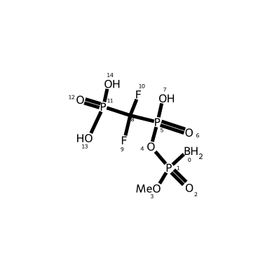 BP(=O)(OC)OP(=O)(O)C(F)(F)P(=O)(O)O